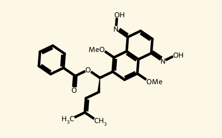 COc1cc([C@@H](CC=C(C)C)OC(=O)c2ccccc2)c(OC)c2c1/C(=N/O)C=C/C2=N\O